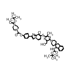 Cc1nc(N2CCC3(CC2)Cc2ccccc2[C@H]3NC(=O)OC(C)(C)C)c(CO)nc1Sc1ccn2cc(-c3ccc(OCC(=O)N4CCN(C(=O)OC(C)(C)C)CC4)cc3)nc2c1Cl